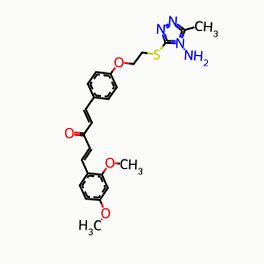 COc1ccc(C=CC(=O)C=Cc2ccc(OCCSc3nnc(C)n3N)cc2)c(OC)c1